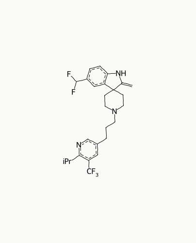 C=C1Nc2ccc(C(F)F)cc2C12CCN(CCCc1cnc(C(C)C)c(C(F)(F)F)c1)CC2